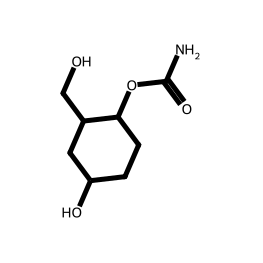 NC(=O)OC1CCC(O)CC1CO